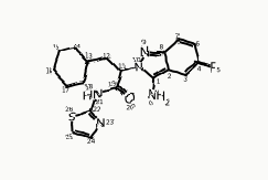 Nc1c2cc(F)ccc2nn1C(CC1CCCCC1)C(=O)Nc1nccs1